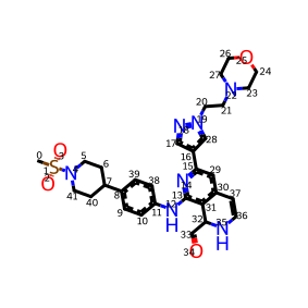 CS(=O)(=O)N1CCC(c2ccc(Nc3nc(-c4cnn(CCN5CCOCC5)c4)cc4c3C(C=O)NC=C4)cc2)CC1